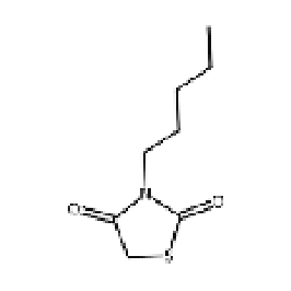 CCCCCN1C(=O)CSC1=O